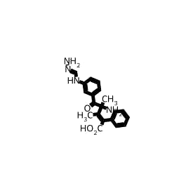 CC(=C(C(=O)O)c1ccccc1)C(C)(N)C(=O)c1cccc(NC=NN)c1